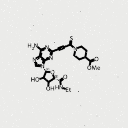 CCNC(=O)[C@H]1O[C@@H](n2cnc3c(N)nc(C#CC(=S)N4CCC(C(=O)OC)CC4)nc32)C(O)C1O